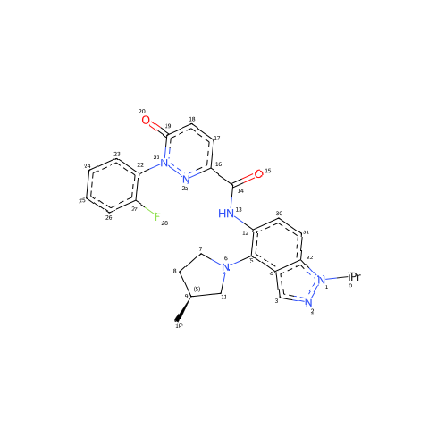 CC(C)n1ncc2c(N3CC[C@H](C)C3)c(NC(=O)c3ccc(=O)n(-c4ccccc4F)n3)ccc21